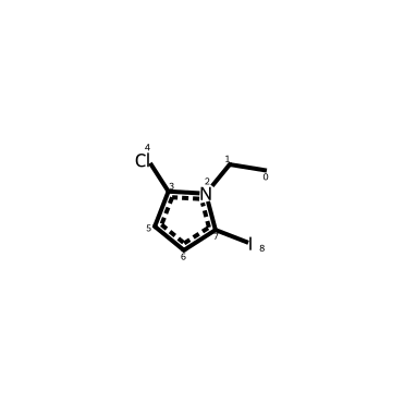 CCn1c(Cl)ccc1I